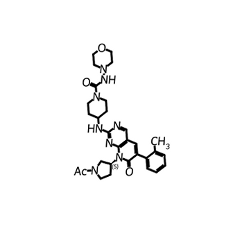 CC(=O)N1CC[C@H](n2c(=O)c(-c3ccccc3C)cc3cnc(NC4CCN(C(=O)NN5CCOCC5)CC4)nc32)C1